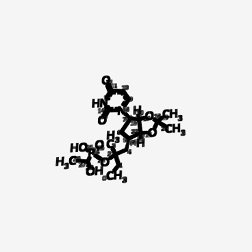 CCC(C)(C[C@H]1C[C@@H](n2ccc(=O)[nH]c2=O)[C@@H]2OC(C)(C)O[C@H]12)OP(=O)(O)C(C)O